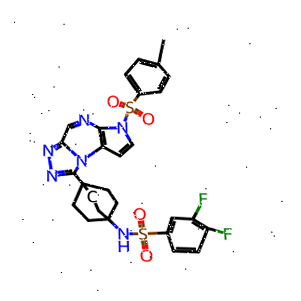 Cc1ccc(S(=O)(=O)n2ccc3c2ncc2nnc(C45CCC(NS(=O)(=O)c6ccc(F)c(F)c6)(CC4)CC5)n23)cc1